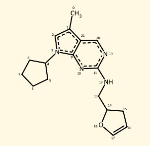 Cc1cn(C2CCCC2)c2nc(NCC3CC=CO3)ncc12